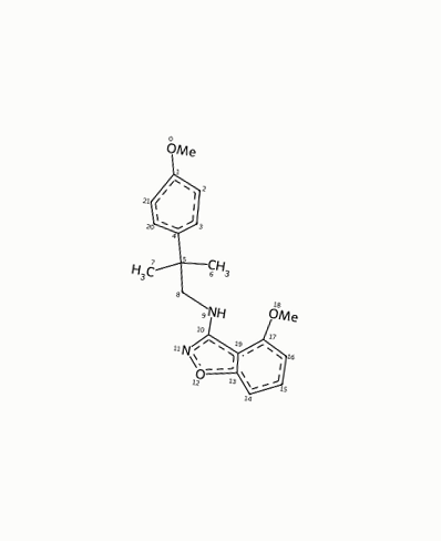 COc1ccc(C(C)(C)CNc2noc3cccc(OC)c23)cc1